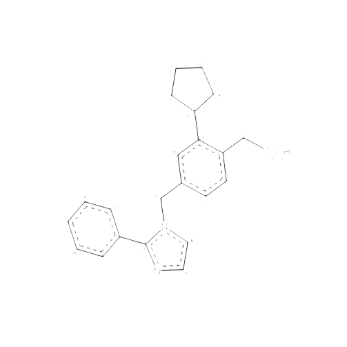 O=C(O)Cc1ccc(Cn2ccnc2-c2ccccc2)cc1C1CCCC1